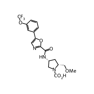 COC[C@H]1C[C@@H](NC(=O)c2ncc(-c3cccc(OC(F)(F)F)c3)o2)CN1C(=O)O